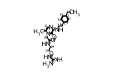 CCc1ccc(CCNc2ncc(C)n(CC(=O)NCCONC(=N)N)c2=O)cc1